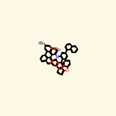 CC(C)(C)c1cc(-c2cccc3cccc(-c4ccccc4N(c4cccc(-c5cccc6oc7ccccc7c56)c4)c4cc(-c5cccc6ccccc56)ccc4-c4ccccc4)c23)cc(C(C)(C)C)c1